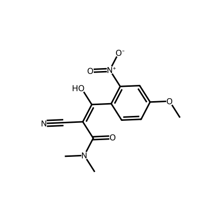 COc1ccc(C(O)=C(C#N)C(=O)N(C)C)c([N+](=O)[O-])c1